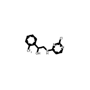 OC(CNc1ccnc(Cl)n1)c1ccccc1C(F)(F)F